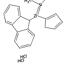 C[Si](C)=[Zr]([C]1=CC=CC1)[CH]1c2ccccc2-c2ccccc21.Cl.Cl